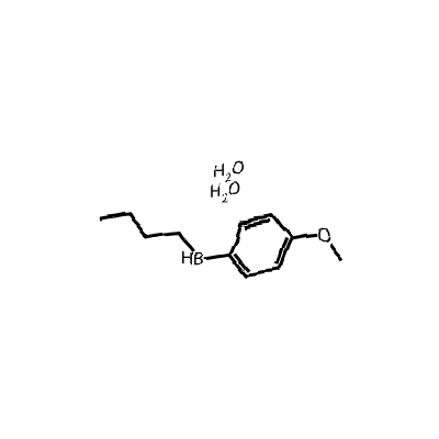 CCCCBc1ccc(OC)cc1.O.O